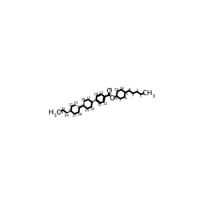 CCCCCC1CCC(OC(=O)c2ccc([C@H]3CC[C@H]([C@H]4CC[C@H](CCC)CC4)CC3)cc2)CC1